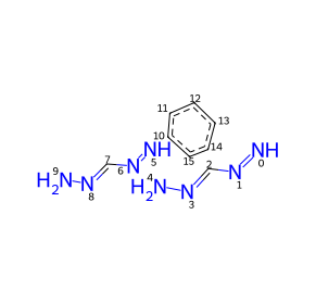 N=NC=NN.N=NC=NN.c1ccccc1